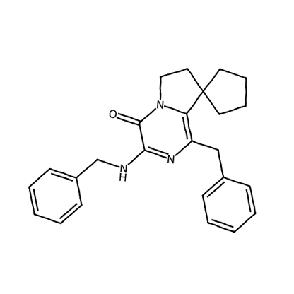 O=c1c(NCc2ccccc2)nc(Cc2ccccc2)c2n1CCC21CCCC1